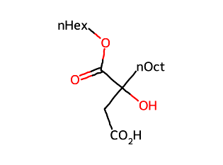 CCCCCCCCC(O)(CC(=O)O)C(=O)OCCCCCC